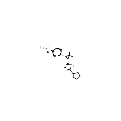 CC1(C)[C@H](c2ccc(S(N)(=O)=O)cn2)[C@H]1c1nc(C2CCCC2)no1